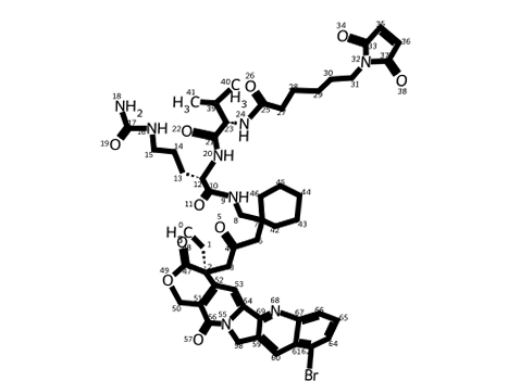 CC[C@@]1(CC(=O)CC2(CNC(=O)[C@H](CCCNC(N)=O)NC(=O)[C@@H](NC(=O)CCCCCN3C(=O)C=CC3=O)C(C)C)CCCCC2)C(=O)OCc2c1cc1n(c2=O)Cc2cc3c(Br)cccc3nc2-1